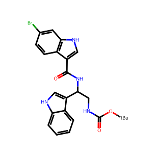 CC(C)(C)OC(=O)NCC(NC(=O)c1c[nH]c2cc(Br)ccc12)c1c[nH]c2ccccc12